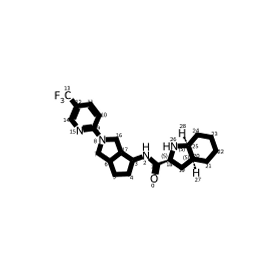 O=C(NC1CCC2CN(c3ccc(C(F)(F)F)cn3)CC21)[C@@H]1C[C@@H]2CCCC[C@@H]2N1